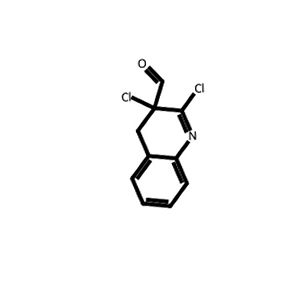 O=CC1(Cl)Cc2ccccc2N=C1Cl